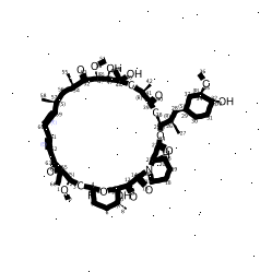 CO[C@H]1C[C@@H]2CC[C@@H](C)[C@@](O)(O2)C(=O)C(=O)N2CCCC[C@H]2C(=O)O[C@H]([C@H](C)C[C@@H]2CC[C@@H](O)[C@H](OC)C2)CC(=O)[C@H](C)CC(C)(O)[C@@H](O)[C@@H](OC)C(=O)[C@H](C)C[C@H](C)/C=C/C=C/C2OC21C